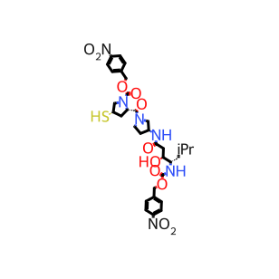 CC(C)C[C@H](NC(=O)OCc1ccc([N+](=O)[O-])cc1)[C@@H](O)CC(=O)N[C@H]1CCN(C(=O)[C@@H]2C[C@H](S)CN2C(=O)OCc2ccc([N+](=O)[O-])cc2)C1